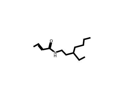 CC=CC(=O)NCCC(CC)CCCC